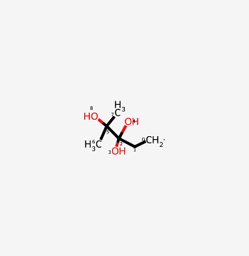 [CH2]CC(O)(O)C(C)(C)O